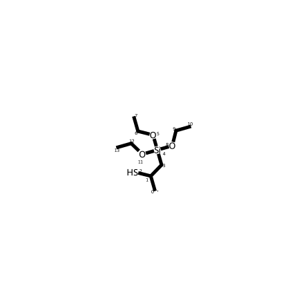 [CH2]C(S)C[Si](OCC)(OCC)OCC